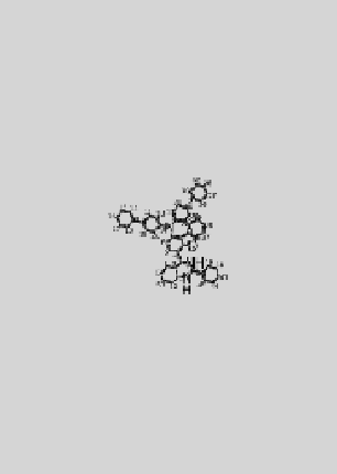 C1=CC2=C(c3ccc(N(c4ccc(-c5ccccc5)cc4)c4ccc(-c5ccccc5)cc4)c4c3oc3ccccc34)NC(c3ccccc3)NC2C=C1